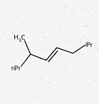 [CH2]C(C)CC=CC(C)CCC